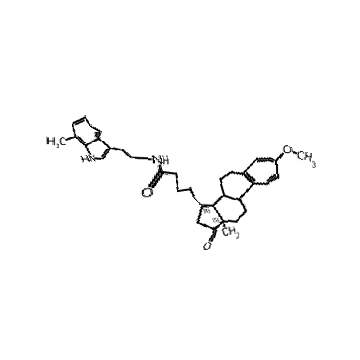 COc1ccc2c(c1)CCC1C2CC[C@]2(C)C(=O)C[C@@H](CCCC(=O)NCCc3c[nH]c4c(C)cccc34)C12